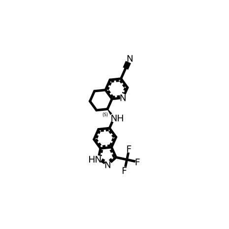 N#Cc1cnc2c(c1)CCC[C@@H]2Nc1ccc2[nH]nc(C(F)(F)F)c2c1